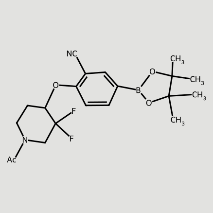 CC(=O)N1CCC(Oc2ccc(B3OC(C)(C)C(C)(C)O3)cc2C#N)C(F)(F)C1